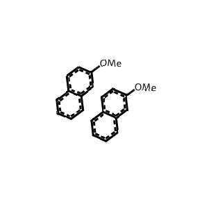 COc1ccc2ccccc2c1.COc1ccc2ccccc2c1